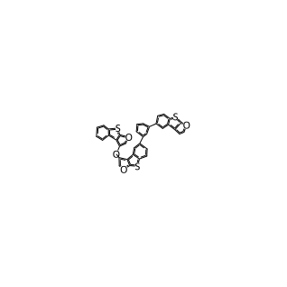 c1cc(-c2ccc3sc4occc4c3c2)cc(-c2ccc3sc4occ(Oc5coc6sc7ccccc7c56)c4c3c2)c1